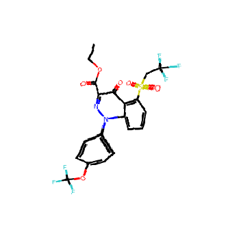 CCOC(=O)c1nn(-c2ccc(OC(F)(F)F)cc2)c2cccc(S(=O)(=O)CC(F)(F)F)c2c1=O